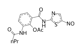 CCCC(=O)Nc1cccc(C(=O)Nc2ncc(N=O)s2)c1OC(C)=O